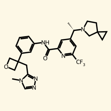 C[C@@H](c1cc(C(=O)Nc2cccc(C3(Cc4nncn4C)COC3)c2)nc(C(F)(F)F)c1)N1CCC2(CC2)C1